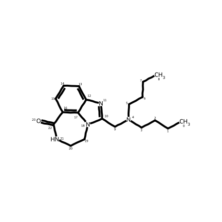 CCCCN(CCCC)Cc1nc2cccc3c2n1CCNC3=O